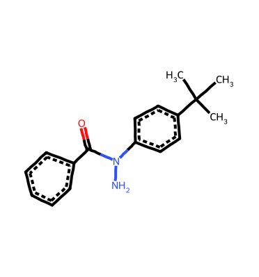 CC(C)(C)c1ccc(N(N)C(=O)c2ccccc2)cc1